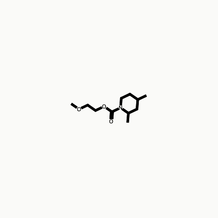 COCCOC(=O)N1CCC(C)CC1C